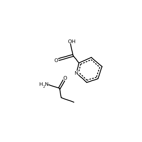 CCC(N)=O.O=C(O)c1ccccn1